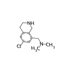 CN(C)Cc1cc(Cl)cc2c1CNCC2